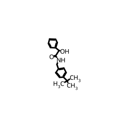 CC(C)(C)c1ccc(CNC(=O)C(O)c2ccccc2)cc1